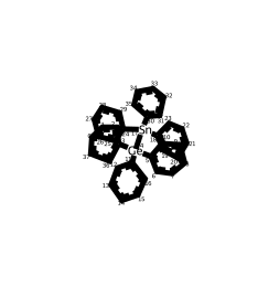 c1cc[c]([Ge]([c]2ccccc2)([c]2ccccc2)[Sn]([c]2ccccc2)([c]2ccccc2)[c]2ccccc2)cc1